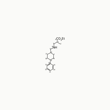 CCOC(=O)C(C)CNCC1CCC(c2ccccc2)CC1